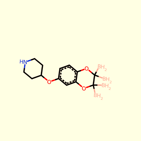 BC1(B)Oc2ccc(OC3CCNCC3)cc2OC1(B)B